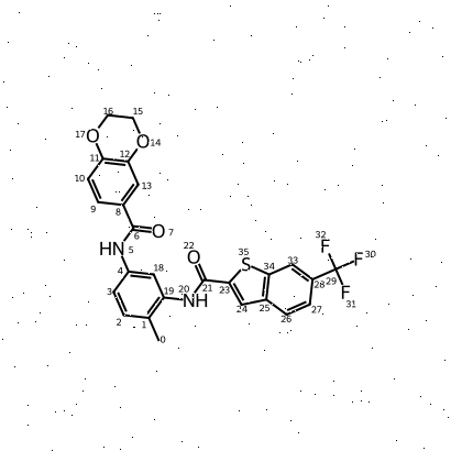 Cc1ccc(NC(=O)c2ccc3c(c2)OCCO3)cc1NC(=O)c1cc2ccc(C(F)(F)F)cc2s1